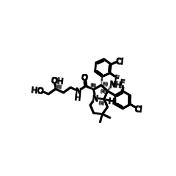 CC1(C)CCN2[C@@H](C1)[C@](N)(c1ccc(Cl)cc1F)[C@@H](c1cccc(Cl)c1F)[C@@H]2C(=O)NCC[C@H](O)CO